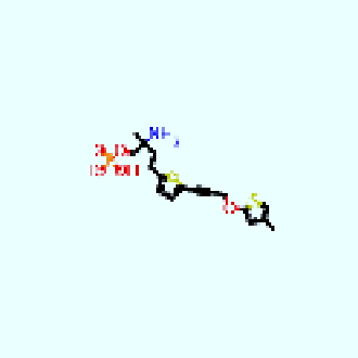 Cc1csc(OCC#Cc2ccc(CCC(C)(N)COP(=O)(O)O)s2)c1